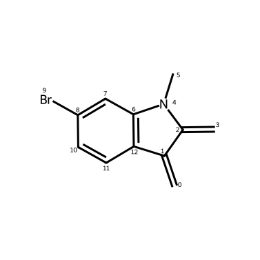 C=c1c(=C)n(C)c2cc(Br)ccc12